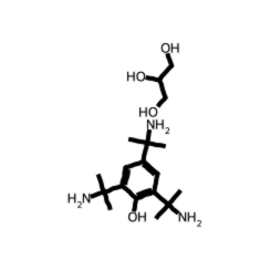 CC(C)(N)c1cc(C(C)(C)N)c(O)c(C(C)(C)N)c1.OCC(O)CO